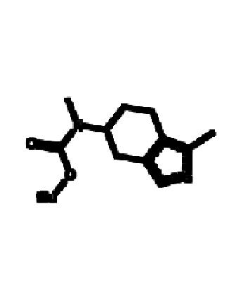 Cc1scc2c1CCC(N(C)C(=O)OC(C)(C)C)C2